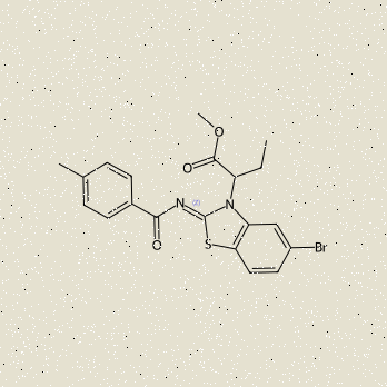 CCC(C(=O)OC)n1/c(=N/C(=O)c2ccc(C)cc2)sc2ccc(Br)cc21